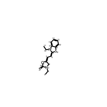 CCN1CC(=CC=C2Sc3ccccc3N2CC)OC1=S